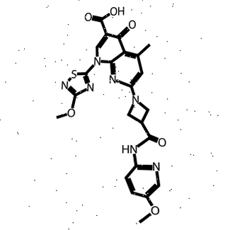 COc1ccc(NC(=O)C2CN(c3cc(C)c4c(=O)c(C(=O)O)cn(-c5nc(OC)ns5)c4n3)C2)nc1